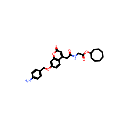 Nc1ccc(COc2ccc3c(CC(=O)NCC(=O)OC4CCCCCCC4)cc(=O)oc3c2)cc1